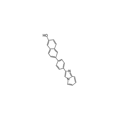 Oc1ccc2cc(-c3ccc(-c4cn5ccccc5n4)cc3)ccc2c1